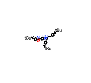 CC(C)(C)CC(C)(C)c1ccc(C=CC2=CC(c3ccc(C(C)(C)CC(C)(C)C)cc3)N(c3ccc(-c4nc5cc(C(C)(C)CC(C)(C)C)ccc5o4)cc3)N2)cc1